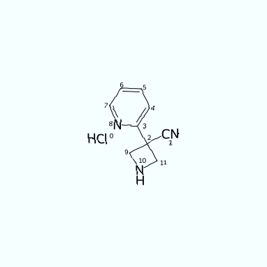 Cl.N#CC1(c2ccccn2)CNC1